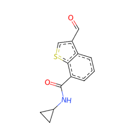 O=Cc1csc2c(C(=O)NC3CC3)cccc12